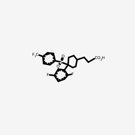 O=C(O)CCC1CCC(c2cc(F)ccc2F)(S(=O)(=O)c2ccc(C(F)(F)F)cc2)CC1